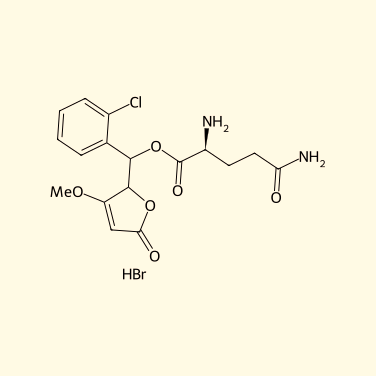 Br.COC1=CC(=O)OC1C(OC(=O)[C@@H](N)CCC(N)=O)c1ccccc1Cl